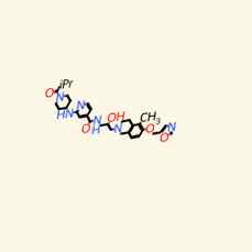 Cc1c(OCc2cnco2)ccc2c1CCN(CC(O)CNC(=O)c1ccnc(NC3CCN(C(=O)C(C)C)CC3)c1)C2